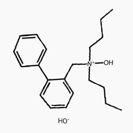 CCCC[N+](O)(CCCC)Cc1ccccc1-c1ccccc1.[OH-]